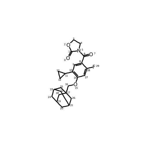 O=C1OCCN1C(=O)c1cc(C2CC2)c(OCC23CC4CC(CC(C4)C2)C3)cc1F